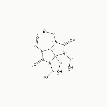 O=CN1C(=O)N(CO)C2(CO)C1N(CO)C(=O)N2CO